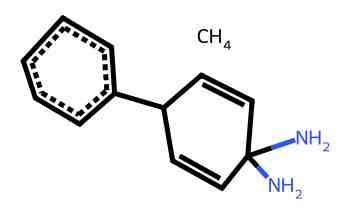 C.NC1(N)C=CC(c2ccccc2)C=C1